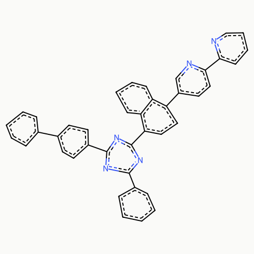 c1ccc(-c2ccc(-c3nc(-c4ccccc4)nc(-c4ccc(-c5ccc(-c6ccccn6)nc5)c5ccccc45)n3)cc2)cc1